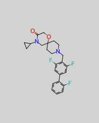 O=C1COC2(CCN(Cc3c(F)cc(-c4ccccc4F)cc3F)CC2)CN1C1CC1